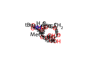 C=C1CC2CCC(=O)CC3OC4C(O)[C@H]5OC(CCC5O[C@H]4C3O)CC(=O)CC3C(CC4OC(CCC1O2)CC(C)C4=C)O[C@H](CC(O)CNC(=O)OC(C)(C)C)[C@@H]3OC